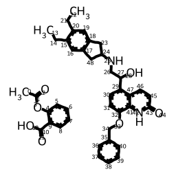 CC(=O)Oc1ccccc1C(=O)O.CCc1cc2c(cc1CC)CC(NCC(O)c1ccc(OCc3ccccc3)c3[nH]c(=O)ccc13)C2